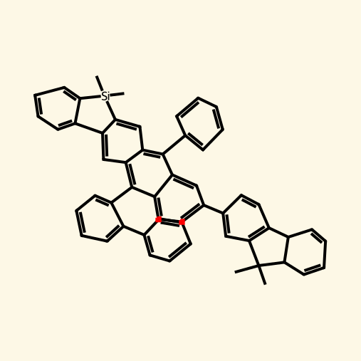 CC1(C)c2cc(-c3ccc4c(-c5ccccc5-c5ccccc5)c5cc6c(cc5c(-c5ccccc5)c4c3)[Si](C)(C)c3ccccc3-6)ccc2C2C=CC=CC21